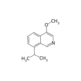 COc1cncc2c(C(C)C)cccc12